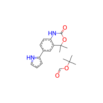 CC(C)(C)OC=O.CC1(C)OC(=O)Nc2ccc(-c3ccc[nH]3)cc21